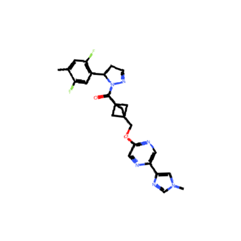 Cc1cc(F)c(C2CC=NN2C(=O)C23CC(COc4cnc(-c5cn(C)cn5)cn4)(C2)C3)cc1F